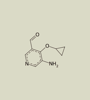 Nc1cncc(C=O)c1OC1CC1